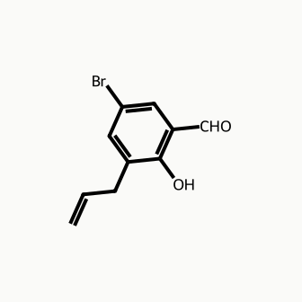 C=CCc1cc(Br)cc(C=O)c1O